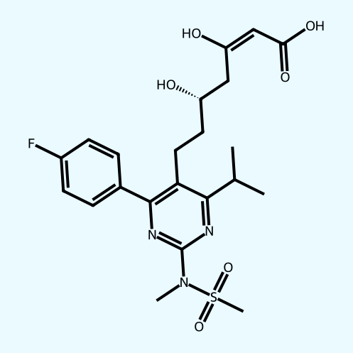 CC(C)c1nc(N(C)S(C)(=O)=O)nc(-c2ccc(F)cc2)c1CC[C@H](O)C/C(O)=C\C(=O)O